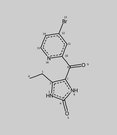 CCc1[nH]c(=O)[nH]c1C(=O)c1cc(Br)ccn1